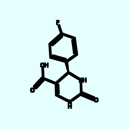 O=C1NC=C(C(=O)O)[C@@H](c2ccc(F)cc2)N1